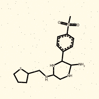 CS(=O)(=O)c1ccc(C2NC(NCC3CCCS3)CNC2N)cc1